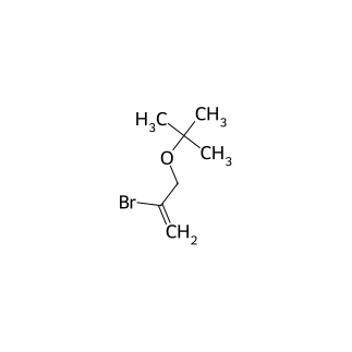 C=C(Br)COC(C)(C)C